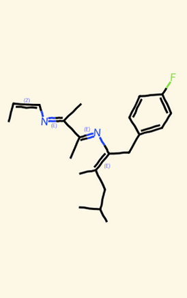 C\C=C/N=C(C)/C(C)=N/C(Cc1ccc(F)cc1)=C(\C)CC(C)C